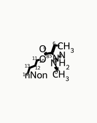 CC=NN(N)C(=CC)C(=O)OCCCCCCCCCCCC